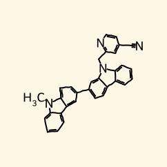 Cn1c2ccccc2c2cc(-c3ccc4c5ccccc5n(Cc5cc(C#N)ccn5)c4c3)ccc21